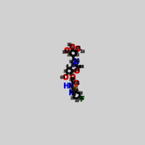 COc1ccc(C2CC(c3cc(OC)c(OC)c(OC)c3)=NN2C(C)=O)cc1OCC(=O)Nc1nc2ccc(F)cc2s1